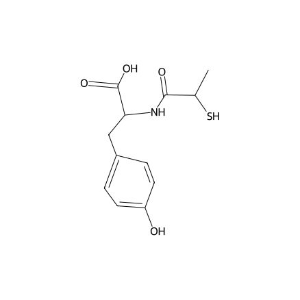 CC(S)C(=O)NC(Cc1ccc(O)cc1)C(=O)O